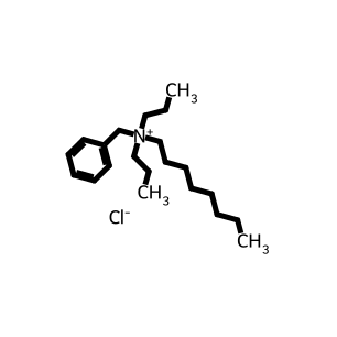 CCCCCCCC[N+](CCC)(CCC)Cc1ccccc1.[Cl-]